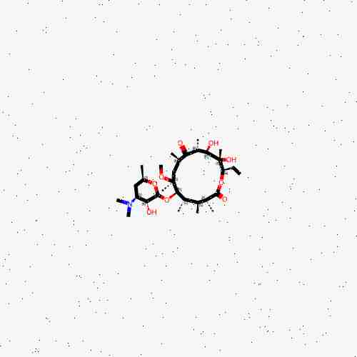 CC[C@H]1OC(=O)[C@H](C)[C@@H](C)[C@H](C)[C@@H](OC2O[C@H](C)C[C@H](N(C)C)[C@H]2O)[C@@](C)(OC)C[C@@H](C)C(=O)[C@H](C)[C@@H](O)[C@]1(C)O